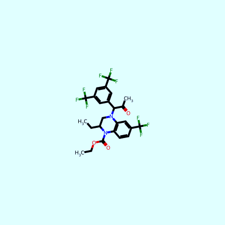 CCOC(=O)N1c2ccc(C(F)(F)F)cc2N(C(C(C)=O)c2cc(C(F)(F)F)cc(C(F)(F)F)c2)CC1CC